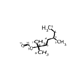 CCC(C)CCC(C)(C)O[C]=O